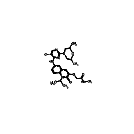 CNC(=O)COc1cc2cc(Nc3nc(N4CC(C)OC(C)C4)ncc3Cl)ccc2n(C(C)C)c1=O